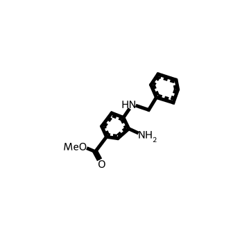 COC(=O)c1ccc(NCc2ccccc2)c(N)c1